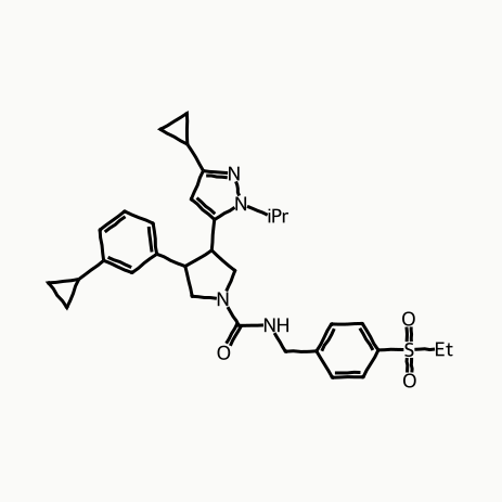 CCS(=O)(=O)c1ccc(CNC(=O)N2CC(c3cccc(C4CC4)c3)C(c3cc(C4CC4)nn3C(C)C)C2)cc1